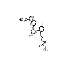 CC(C)(C)OC(=O)NCCOc1ccc(F)cc1[C@H]1C[C@H](F)CN1c1ccn2ncc(C(=O)O)c2n1